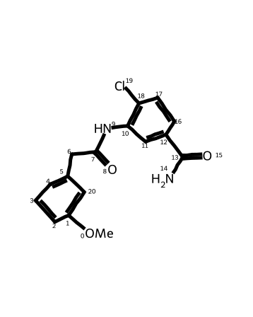 COc1cccc(CC(=O)Nc2cc(C(N)=O)ccc2Cl)c1